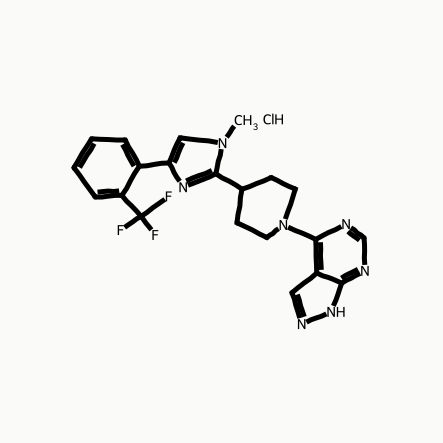 Cl.Cn1cc(-c2ccccc2C(F)(F)F)nc1C1CCN(c2ncnc3[nH]ncc23)CC1